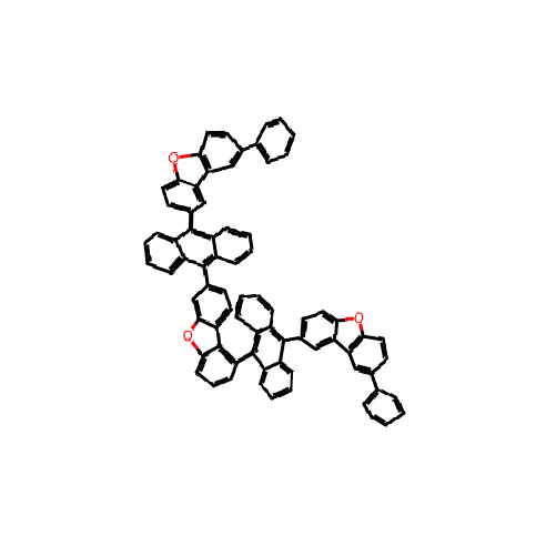 c1ccc(-c2ccc3oc4ccc(-c5c6ccccc6c(-c6ccc7c(c6)oc6cccc(-c8c9ccccc9c(-c9ccc%10oc%11ccc(-c%12ccccc%12)cc%11c%10c9)c9ccccc89)c67)c6ccccc56)cc4c3c2)cc1